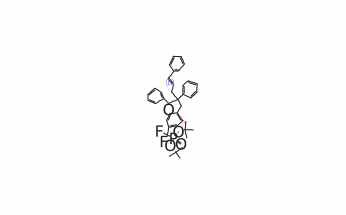 CC(C)(C)OP(=O)(OC(C)(C)C)C(F)(F)c1ccc(CC(C/C=C/c2ccccc2)(C(=O)c2ccccc2)c2ccccc2)cc1